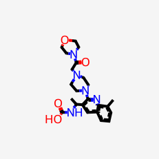 Cc1cccc2cc(C(C)NC(=O)O)c(N3CCN(CC(=O)N4CCOCC4)CC3)nc12